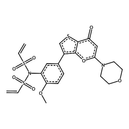 C=CS(=O)(=O)N(c1cc(-c2csc3c(=O)cc(N4CCOCC4)oc23)ccc1OC)S(=O)(=O)C=C